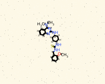 COc1ccccc1CNC(=S)N[C@H]1CC[C@@H](Nc2nc(N(C)C)c3ccccc3n2)CC1